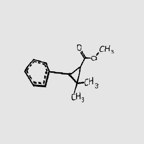 COC(=O)C1C(c2ccccc2)C1(C)C